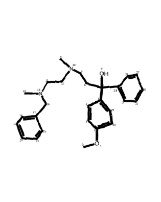 COc1ccc(C(O)(CCN(C)CCN(C)Cc2ccccc2)c2ccccc2)cc1